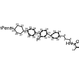 C=C(C)C(=O)NCCCc1ccc(-c2ccc(-c3ccc(C4CCC(CCCCC)CC4)cc3)c(F)c2)cc1